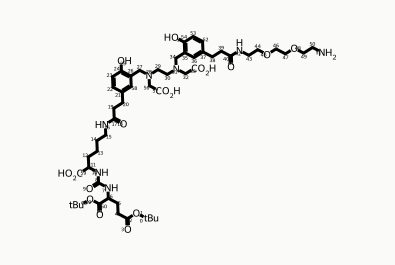 CC(C)(C)OC(=O)CCC(NC(=O)NC(CCCCNC(=O)CCc1ccc(O)c(CN(CCN(CC(=O)O)Cc2cc(CCC(=O)NCCOCCOCCN)ccc2O)CC(=O)O)c1)C(=O)O)C(=O)OC(C)(C)C